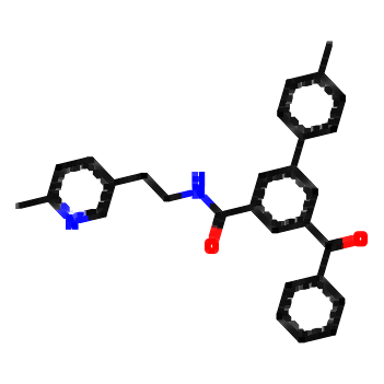 Cc1ccc(-c2cc(C(=O)NCCc3ccc(C)nc3)cc(C(=O)c3ccccc3)c2)cc1